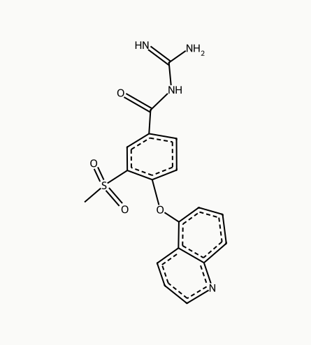 CS(=O)(=O)c1cc(C(=O)NC(=N)N)ccc1Oc1cccc2ncccc12